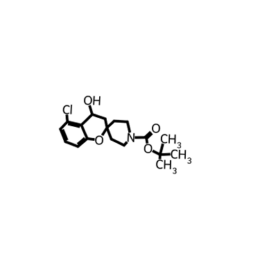 CC(C)(C)OC(=O)N1CCC2(CC1)CC(O)c1c(Cl)cccc1O2